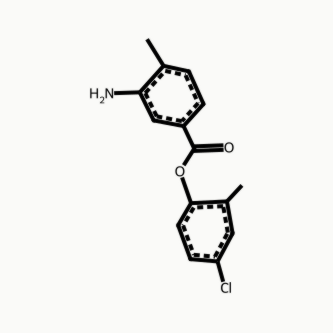 Cc1ccc(C(=O)Oc2ccc(Cl)cc2C)cc1N